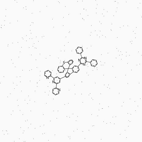 c1ccc(-c2nc(-c3ccccc3)nc(-c3ccc4c(c3)C3(c5ccccc5Sc5ccccc53)c3cc(-c5cc(-c6ccccn6)nc(-c6ccccn6)c5)ccc3-4)n2)cc1